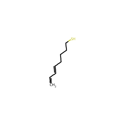 C=CC=CCCCCS